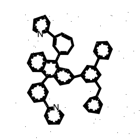 C1=CC(c2ccccn2)=CC(c2c3ccccc3c(-c3cccc(-c4ccccn4)c3)c3ccc(-c4cc(Cc5ccccc5)cc(-c5ccccc5)c4)cc23)=CC1